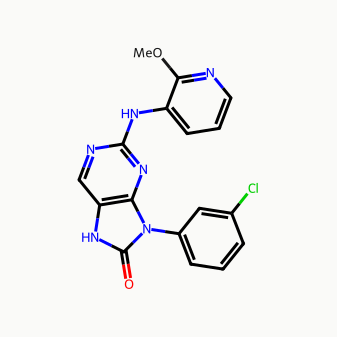 COc1ncccc1Nc1ncc2[nH]c(=O)n(-c3cccc(Cl)c3)c2n1